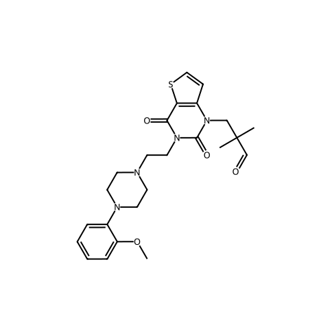 COc1ccccc1N1CCN(CCn2c(=O)c3sccc3n(CC(C)(C)C=O)c2=O)CC1